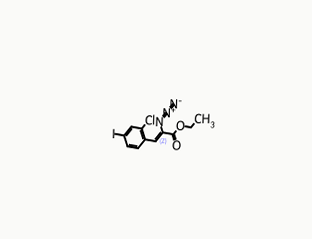 CCOC(=O)/C(=C/c1ccc(I)cc1Cl)N=[N+]=[N-]